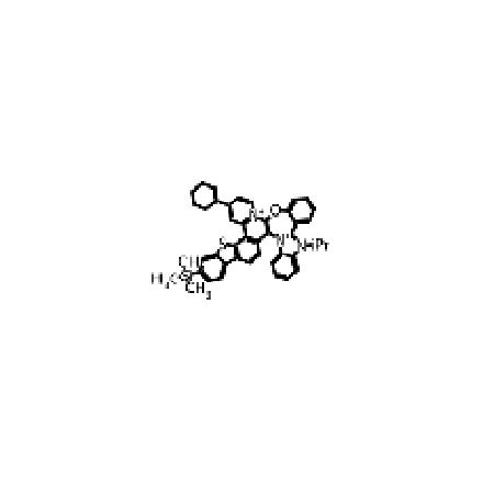 CC(C)n1c2[n+](c3ccccc31)C1c3ccc4c(sc5cc([Si](C)(C)C)ccc54)c3-c3cc(C4CCCCC4)cc[n+]3C1Oc1ccccc1-2